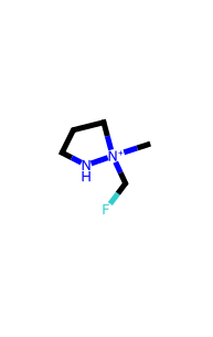 C[N+]1(CF)CCCN1